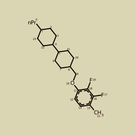 CCCC1CCC(C2CCC(COc3ccc(C)c(F)c3F)CC2)CC1